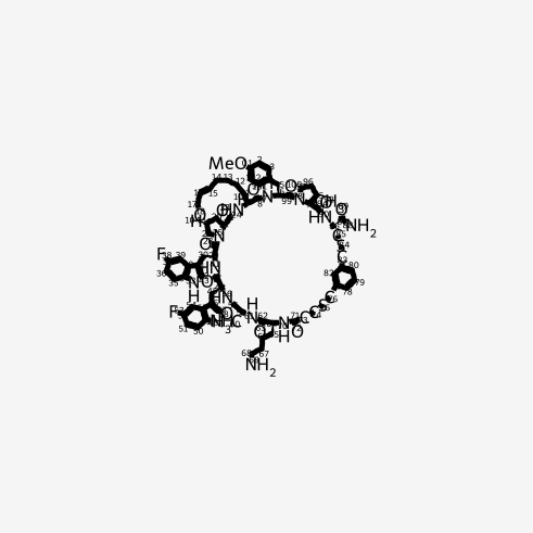 COc1ccc(C[C@@H]2NC(=O)[C@@H]3CCCC/C=C/CO[C@H]4CC(C(=O)N3)N(C4)C(=O)[C@H](Cc3c[nH]c4ccc(F)cc34)NC(=O)[C@H](Cc3c[nH]c4ccc(F)cc34)NC(=O)[C@@H](C)NC(=O)[C@H](CCCCN)NC(=O)CCSCc3cccc(c3)CSC[C@@H](C(N)=O)NC(=O)[C@]3(C)CCCN3C2=O)cc1